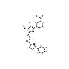 C=Cc1c(/C=C(\C)Nc2nc(-c3cccnc3)cs2)nc(-c2cccc(C(F)F)c2)n1C